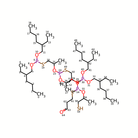 CCCCC(CC)COP(OCC(CC)CCCC)SCC(C)OP(OC(C)CSP(OCC(CC)CCCC)OCC(CC)CCCC)SCC(C)OP(OC(C)CS)SCCC=O